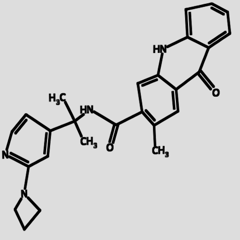 Cc1cc2c(=O)c3ccccc3[nH]c2cc1C(=O)NC(C)(C)c1ccnc(N2CCC2)c1